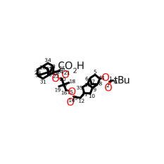 CC(C)(C)C(=O)OC1CC2CC1C1CC(CC(=O)OCC(C)(C)C(=O)OC3(CC(=O)O)C4CC5CC(C4)CC3C5)CC21